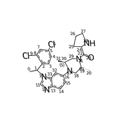 CC(c1ccc(Cl)cc1Cl)n1cnc2ccc(N3C[C@@H](C)N(C(=O)C4CCCN4)C[C@@H]3C)cc21